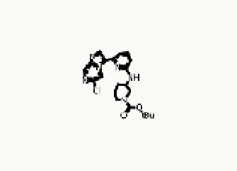 CC(C)(C)OC(=O)N1CCCC(Nc2cccc(-c3cnc4cnc(Cl)cn34)n2)C1